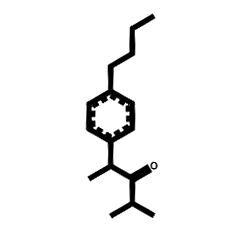 CCCCc1ccc(C(C)C(=O)C(C)C)cc1